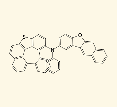 c1ccc(N(c2ccc3oc4cc5ccccc5cc4c3c2)c2ccc3sc4ccc5cccc6c5c4c3c2-c2ccccc2-6)cc1